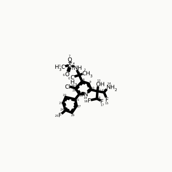 CC(C)(NS(C)(=O)=O)c1cc(C(O)(C(N)F)C(F)F)nc(-c2ccc(F)cc2)c1Cl